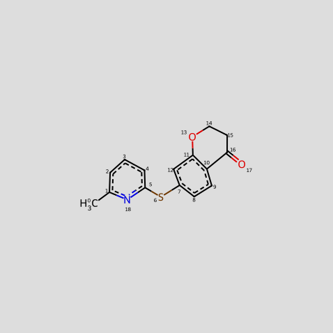 Cc1cccc(Sc2ccc3c(c2)OCCC3=O)n1